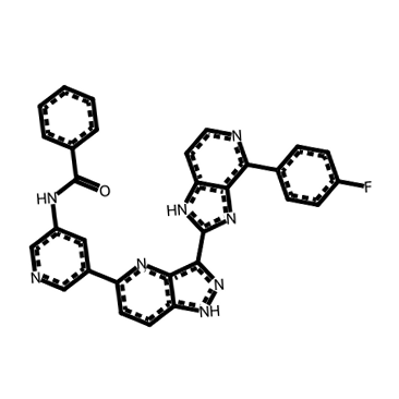 O=C(Nc1cncc(-c2ccc3[nH]nc(-c4nc5c(-c6ccc(F)cc6)nccc5[nH]4)c3n2)c1)c1ccccc1